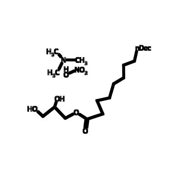 CCCCCCCCCCCCCCCCCC(=O)OCC(O)CO.CN(C)C.O=[N+]([O-])O